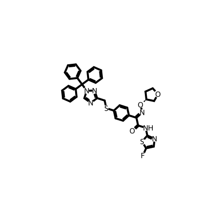 O=C(Nc1ncc(F)s1)/C(=N/O[C@@H]1CCOC1)c1ccc(SCc2ncn(C(c3ccccc3)(c3ccccc3)c3ccccc3)n2)cc1